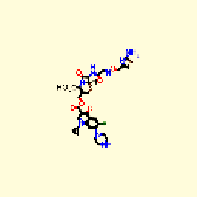 Nc1nc(CON=CC(=O)N[C@@H]2C(=O)N3C(C(=O)O)=C(COC(=O)c4cn(C5CC5)c5cc(N6CCNCC6)c(F)cc5c4=O)CS[C@H]23)cs1